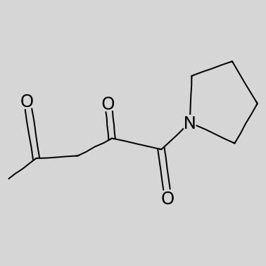 CC(=O)CC(=O)C(=O)N1CCCC1